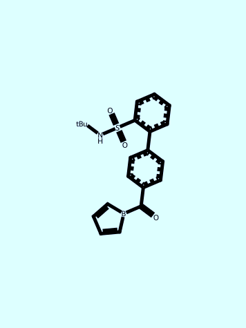 CC(C)(C)NS(=O)(=O)c1ccccc1-c1ccc(C(=O)B2C=CC=C2)cc1